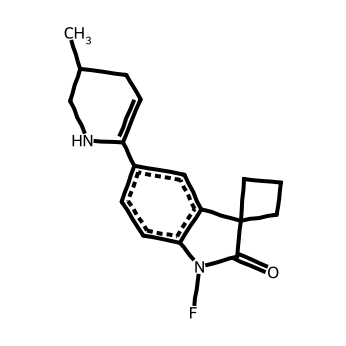 CC1CC=C(c2ccc3c(c2)C2(CCC2)C(=O)N3F)NC1